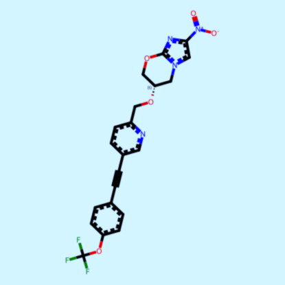 O=[N+]([O-])c1cn2c(n1)OC[C@@H](OCc1ccc(C#Cc3ccc(OC(F)(F)F)cc3)cn1)C2